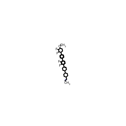 C/C=C/C1CCC(C2CC=C(c3ccc(-c4ccc(C5CCC(OC)C(F)C5F)cc4)c(F)c3F)CC2)CC1